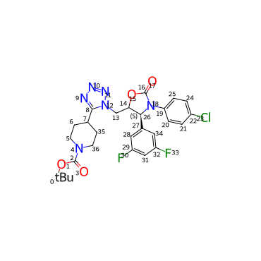 CC(C)(C)OC(=O)N1CCC(c2nnnn2CC2OC(=O)N(c3ccc(Cl)cc3)[C@H]2c2cc(F)cc(F)c2)CC1